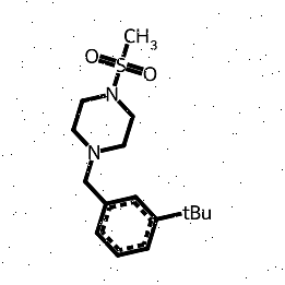 CC(C)(C)c1cccc(CN2CCN(S(C)(=O)=O)CC2)c1